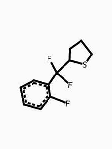 Fc1ccccc1C(F)(F)C1CCCS1